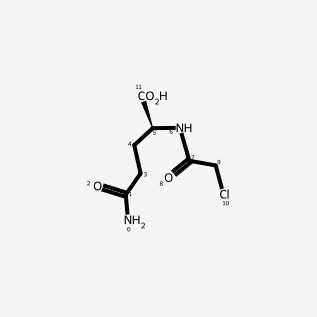 NC(=O)CC[C@H](NC(=O)CCl)C(=O)O